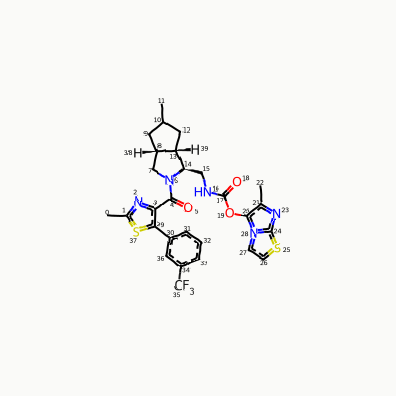 Cc1nc(C(=O)N2C[C@@H]3CC(C)C[C@@H]3[C@H]2CNC(=O)Oc2c(C)nc3sccn23)c(-c2cccc(C(F)(F)F)c2)s1